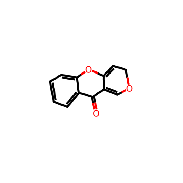 O=c1c2c(oc3ccccc13)=CCOC=2